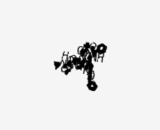 CCC[C@@H](C(=O)C(=O)NC1CC1)N1CC[C@@H]2CC(C1=O)N(C(=O)[C@@H](NC(=O)C(NC(=O)C1CC(OCc3ccccc3)=NO1)C1CCCCC1)C(C)(C)C)C2